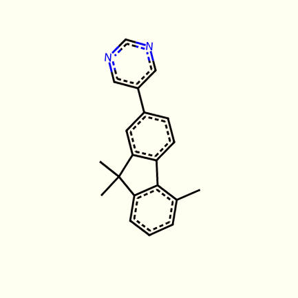 Cc1cccc2c1-c1ccc(-c3cncnc3)cc1C2(C)C